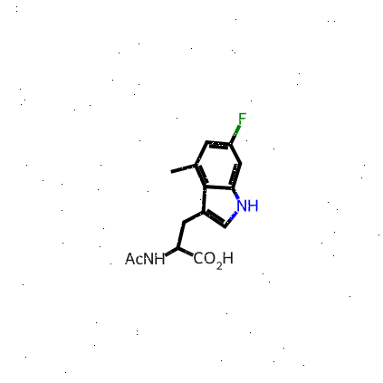 CC(=O)NC(Cc1c[nH]c2cc(F)cc(C)c12)C(=O)O